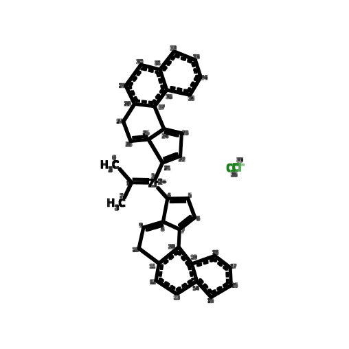 C[C](C)=[Zr+2]([C]1=CC=C2C1=CCc1ccc3ccccc3c12)[C]1=CC=C2C1=CCc1ccc3ccccc3c12.[Cl-].[Cl-]